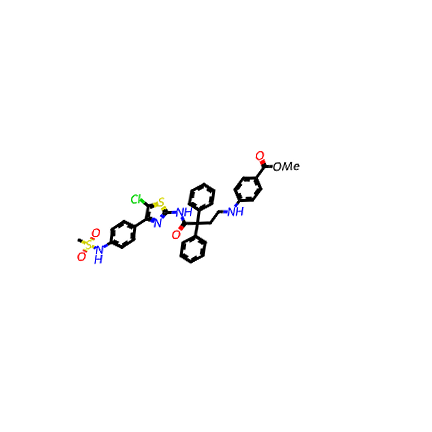 COC(=O)c1ccc(NCCC(C(=O)Nc2nc(-c3ccc(NS(C)(=O)=O)cc3)c(Cl)s2)(c2ccccc2)c2ccccc2)cc1